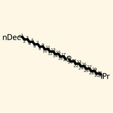 [CH2]CCCCCCCCCCCCCCCCCCCCCCCCCCCSCCCCCCCCCCCCC(C)C